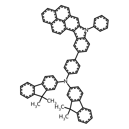 CC1(C)c2ccccc2-c2ccc(N(c3ccc(-c4ccc5c(c4)c4c6ccc7cccc8ccc(cc4n5-c4ccccc4)c6c87)cc3)c3ccc4c(c3)C(C)(C)c3ccccc3-4)cc21